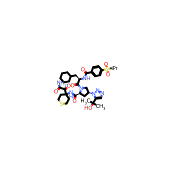 CC(C)S(=O)(=O)c1ccc(C(=O)N[C@H](CC2CCCCC2)C(=O)N2C[C@@H](n3nncc3C(C)(C)O)C[C@H]2C(=O)NC2(C(=O)C(N)=O)CCSCC2)cc1